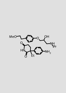 CCC1(c2ccc(N)cc2)CCC(=O)NC1=O.COCCc1ccc(OCC(O)CNC(C)C)cc1